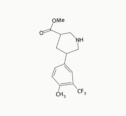 COC(=O)C1CNCC(c2ccc(C)c(C(F)(F)F)c2)C1